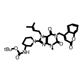 CC(C)=CCn1c(N2CCCC(NC(=O)OC(C)(C)C)C2)nc2c1c(=O)n(Cc1cc(=O)oc3ccccc13)c(=O)n2C